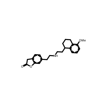 COc1cccc2c1CCCC2CCNCCc1ccc2c(c1)OC(=O)C2